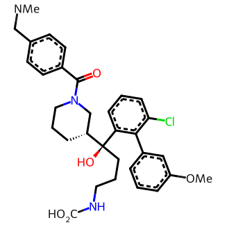 CNCc1ccc(C(=O)N2CCC[C@@H]([C@@](O)(CCCNC(=O)O)c3cccc(Cl)c3-c3cccc(OC)c3)C2)cc1